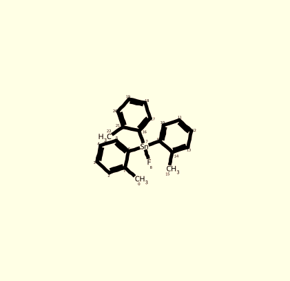 Cc1cccc[c]1[Sn]([F])([c]1ccccc1C)[c]1ccccc1C